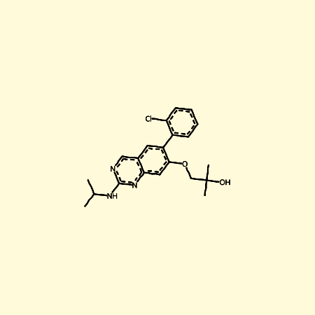 CC(C)Nc1ncc2cc(-c3ccccc3Cl)c(OCC(C)(C)O)cc2n1